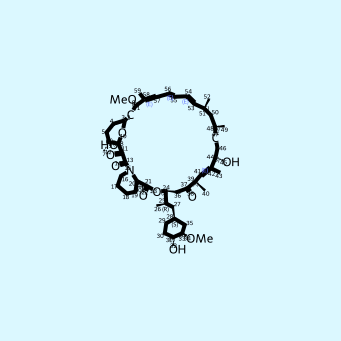 CO[C@H]1CC2CC[C@@H](C)[C@@](O)(O2)C(=O)C(=O)N2CCCC[C@H]2C(=O)O[C@H]([C@H](C)C[C@@H]2CC[C@@H](O)[C@H](OC)C2)CC(=O)[C@H](C)/C=C(\C)[C@@H](O)CC[C@H](C)C[C@H](C)/C=C/C=C/C=C/1C